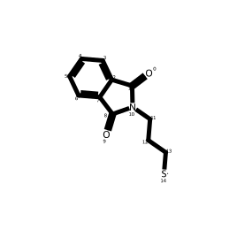 O=C1c2ccccc2C(=O)N1CCC[S]